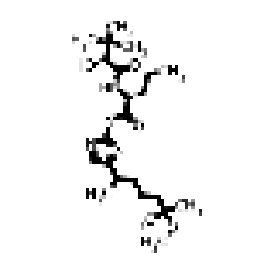 CCC[C@H](NC(=O)[C@@H](O)C(C)(C)C)C(=O)Nc1ncc(C(C)CCCC(C)(C)OC)s1